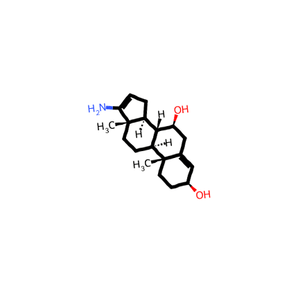 C[C@]12CC[C@H](O)C=C1C[C@H](O)[C@@H]1[C@@H]2CC[C@]2(C)C(N)=CC[C@@H]12